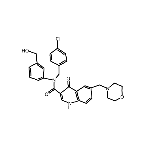 O=C(c1c[nH]c2ccc(CN3CCOCC3)cc2c1=O)N(Cc1ccc(Cl)cc1)c1cccc(CO)c1